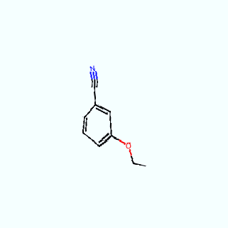 CCOc1cc[c]c(C#N)c1